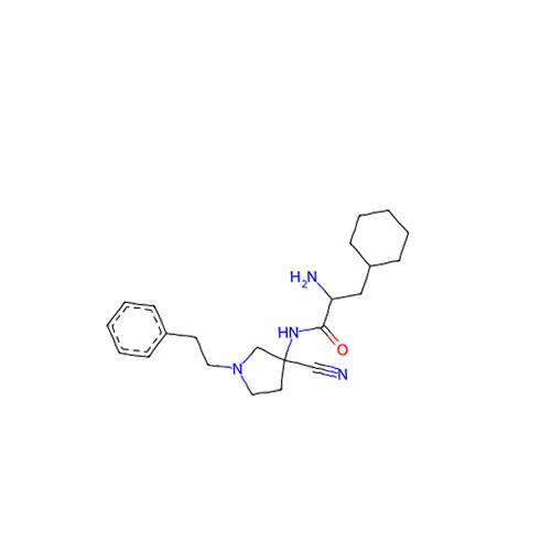 N#CC1(NC(=O)C(N)CC2CCCCC2)CCN(CCc2ccccc2)C1